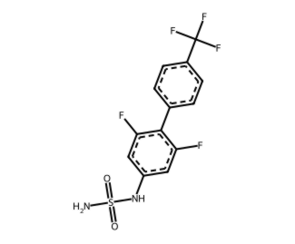 NS(=O)(=O)Nc1cc(F)c(-c2ccc(C(F)(F)F)cc2)c(F)c1